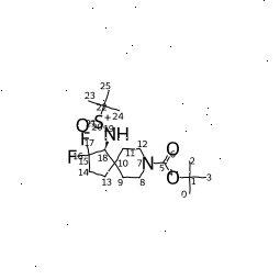 CC(C)(C)OC(=O)N1CCC2(CC1)CCC(F)(F)[C@H]2N[S@+]([O-])C(C)(C)C